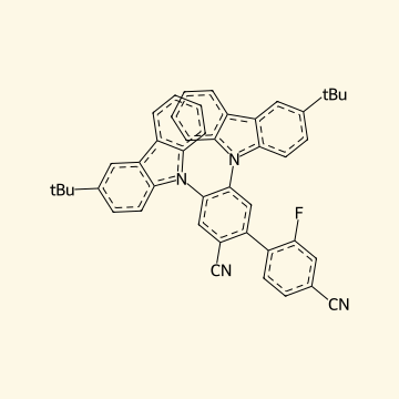 CC(C)(C)c1ccc2c(c1)c1ccccc1n2-c1cc(C#N)c(-c2ccc(C#N)cc2F)cc1-n1c2ccccc2c2cc(C(C)(C)C)ccc21